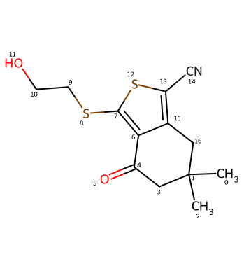 CC1(C)CC(=O)c2c(SCCO)sc(C#N)c2C1